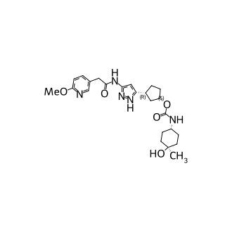 COc1ccc(CC(=O)Nc2cc([C@@H]3CC[C@H](OC(=O)N[C@H]4CC[C@](C)(O)CC4)C3)[nH]n2)cn1